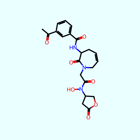 CC(=O)c1cccc(C(=O)NC2CC=CCN(CC(=O)N(O)C3COC(=O)C3)C2=O)c1